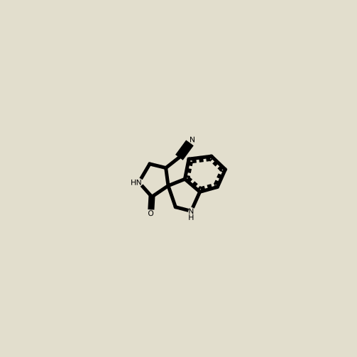 N#CC1CNC(=O)C12CNc1ccccc12